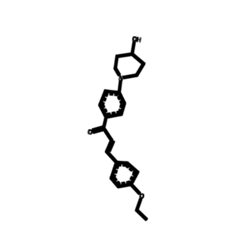 CCOc1ccc(/C=C/C(=O)c2ccc(N3CCC(O)CC3)cc2)cc1